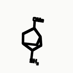 COC1CC2CC1CC2[SiH3]